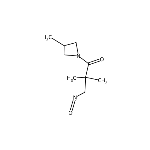 CC1CN(C(=O)C(C)(C)CN=O)C1